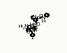 C[C@]1(C(N)=O)COc2c1cc(C(O)(CNC(=O)c1cc(OCC(=O)Nc3ccccc3)c3ncccc3c1)C(F)(F)F)nc2-c1ccc(F)cc1